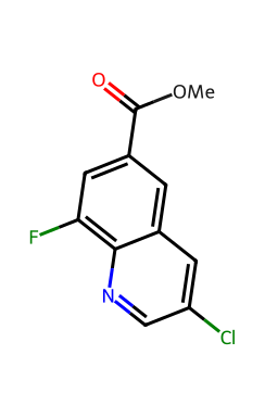 COC(=O)c1cc(F)c2ncc(Cl)cc2c1